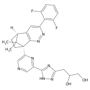 CC1(C)[C@H]2CC[C@]1(c1cncc(-c3nc(CC(O)CO)n[nH]3)n1)c1nnc(-c3c(F)cccc3F)cc12